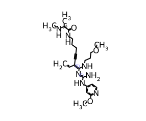 C=C/C(C#CCCCNC(=O)[C@H](C)NC)=C(\N=C(/N)Nc1ccnc(OC)c1)NCCCOC